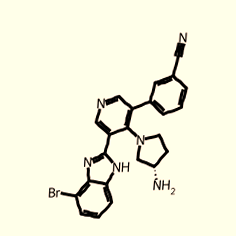 N#Cc1cccc(-c2cncc(-c3nc4c(Br)cccc4[nH]3)c2N2CC[C@H](N)C2)c1